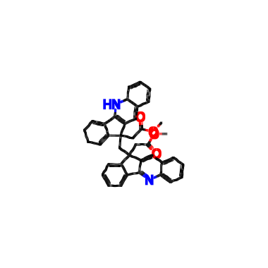 COC(=O)CC1(CC2(CC(=O)OC)c3ccccc3-c3nc4ccccc4cc32)C2=CCCC=C2C2=C1C=C1C=CC=CC1N2